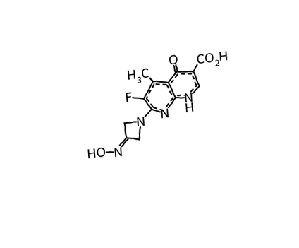 Cc1c(F)c(N2CC(=NO)C2)nc2[nH]cc(C(=O)O)c(=O)c12